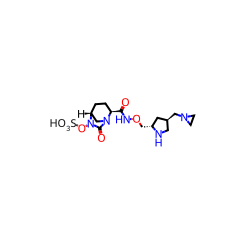 O=C(NOC[C@@H]1C[C@@H](CN2CC2)CN1)[C@@H]1CC[C@@H]2CN1C(=O)N2OS(=O)(=O)O